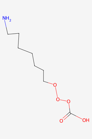 NCCCCCCCOOOC(=O)O